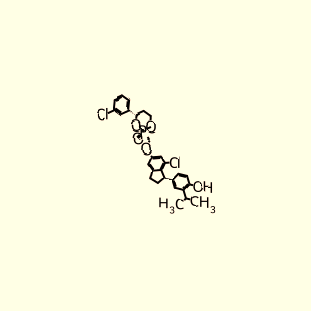 CC(C)c1cc([C@H]2CCc3cc(OCP4(=O)OCC[C@@H](c5cccc(Cl)c5)O4)cc(Cl)c32)ccc1O